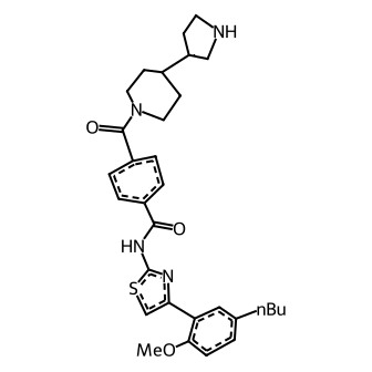 CCCCc1ccc(OC)c(-c2csc(NC(=O)c3ccc(C(=O)N4CCC([C]5CCNC5)CC4)cc3)n2)c1